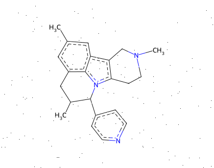 Cc1cc2c3c(c1)c1c(n3C(c3ccncc3)C(C)C2)CCN(C)C1